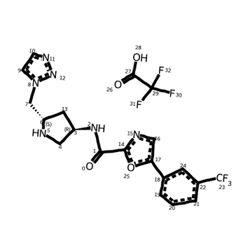 O=C(N[C@H]1CN[C@H](Cn2ccnn2)C1)c1ncc(-c2cccc(C(F)(F)F)c2)o1.O=C(O)C(F)(F)F